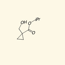 CC(C)OC(=O)C1(CO)CC1